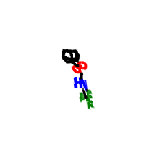 O=C(OCCNCC(F)(F)F)C12CC3CC(CC(C3)C1)C2